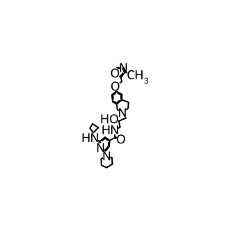 Cc1ncoc1COc1ccc2c(c1)CCN(CC(O)CNC(=O)c1cc(NC3CCC3)nc(N3CCCCC3)c1)C2